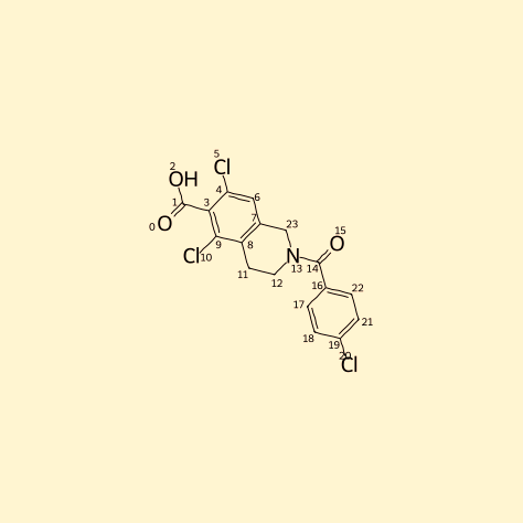 O=C(O)c1c(Cl)cc2c(c1Cl)CCN(C(=O)c1ccc(Cl)cc1)C2